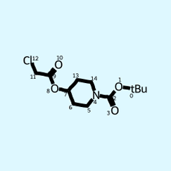 CC(C)(C)OC(=O)N1CCC(OC(=O)CCl)CC1